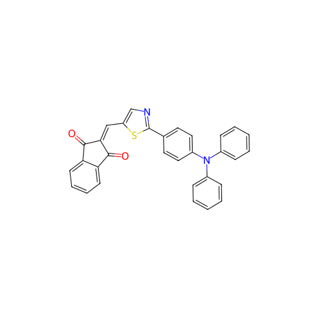 O=C1C(=Cc2cnc(-c3ccc(N(c4ccccc4)c4ccccc4)cc3)s2)C(=O)c2ccccc21